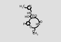 CCc1cncc(CNC[C@@H](O)[C@@H]2Cc3cc(F)cc(c3)OCC(COC)CCNC(=O)CCC(=O)N2)c1